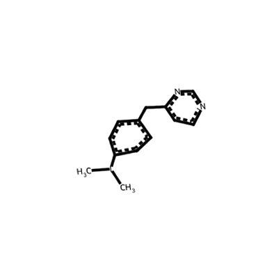 CI(C)c1ccc(Cc2ccncn2)cc1